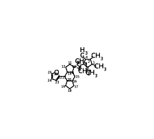 CC1C(C)C(C)C([Si](C)(C)C2CCC3C2CC2CCCC2C3c2ccco2)C1C